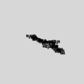 CC(CCC(=O)O)C(=O)N[C@@H](CCC(=O)NC[C@H](O)[C@@H](O)[C@H](O)[C@H](O)CO)C(=O)N[C@@H](CSSCCOC(=O)CC[C@H](NC(=O)c1ccc(NCc2cnc3nc(N)nc(N)c3n2)cc1)C(=O)O)C(=O)O